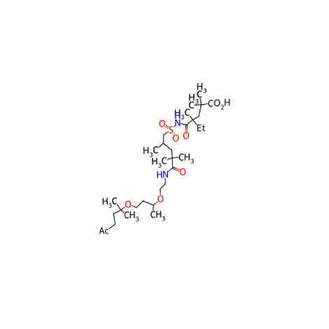 CCC(C)(CC(C)(C)C(=O)O)C(=O)NS(=O)(=O)CC(C)CC(C)(C)C(=O)NCCOC(C)CCOC(C)(C)CCC(C)=O